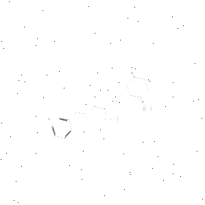 CC1CCC(C(C)C)C(OCC(O)COCc2ccccc2)C1